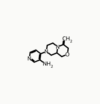 C=C1COCC2CN(c3ccncc3N)CCN12